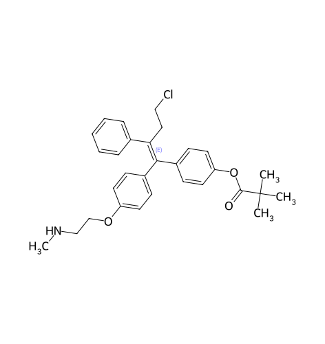 CNCCOc1ccc(/C(=C(/CCCl)c2ccccc2)c2ccc(OC(=O)C(C)(C)C)cc2)cc1